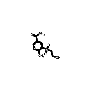 Cc1ncc(C(N)=O)cc1S(=O)(=O)CCO